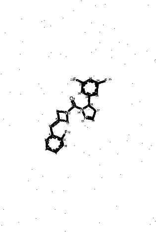 O=C(N1CC(=Cc2ccccc2F)C1)N1N=CCC1c1cc(F)cc(F)c1